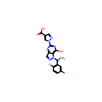 C[C@@H](c1cc(F)ccc1F)n1ncc2nc(-n3cc(C(=O)O)cn3)nc(O)c21